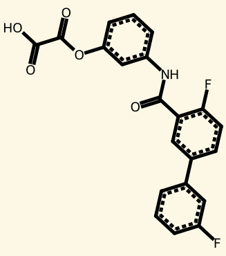 O=C(O)C(=O)Oc1cccc(NC(=O)c2cc(-c3cccc(F)c3)ccc2F)c1